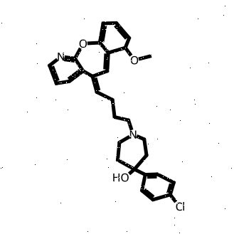 COC1C=CC=C2Oc3ncccc3C(=CCCCN3CCC(O)(c4ccc(Cl)cc4)CC3)C=C21